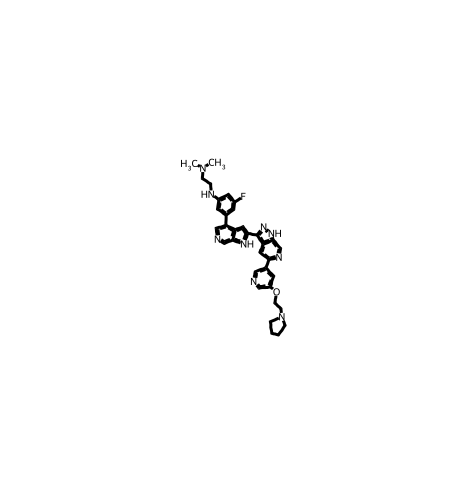 CN(C)CCNc1cc(F)cc(-c2cncc3[nH]c(-c4n[nH]c5cnc(-c6cncc(OCCN7CCCC7)c6)cc45)cc23)c1